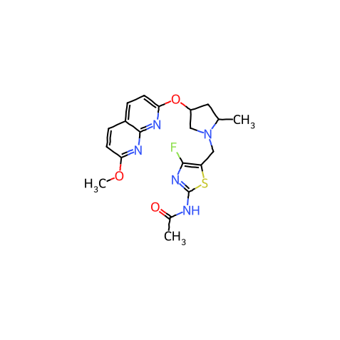 COc1ccc2ccc(OC3CC(C)N(Cc4sc(NC(C)=O)nc4F)C3)nc2n1